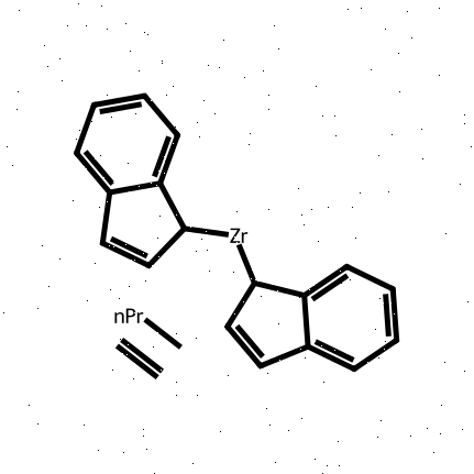 C1=C[CH]([Zr][CH]2C=Cc3ccccc32)c2ccccc21.C=C.CCCC